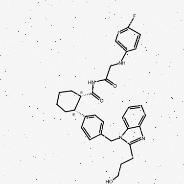 O=C(CNc1ccc(F)cc1)NC(=O)[C@H]1CCCC[C@H]1c1ccc(Cn2c(CCCO)nc3ccccc32)cc1